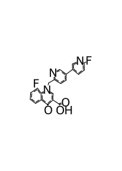 O=C(O)c1cn(Cc2ccc(-c3ccc(F)nc3)cn2)c2c(F)cccc2c1=O